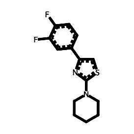 Fc1ccc(-c2csc(N3CCCCC3)n2)cc1F